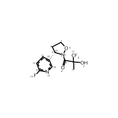 CC(O)(C(=O)N1OCC[C@H]1c1ccc(F)nc1)C(F)(F)F